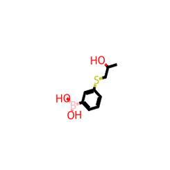 CC(O)CSc1cccc(B(O)O)c1